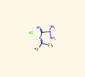 CC(C)=NC(=N)N(N)N.Cl